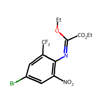 CCOC(=O)/C(=N/c1c([N+](=O)[O-])cc(Br)cc1C(F)(F)F)OCC